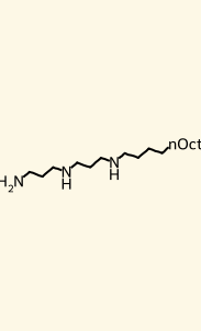 CCCCCCCCCCCCNCCCNCCCN